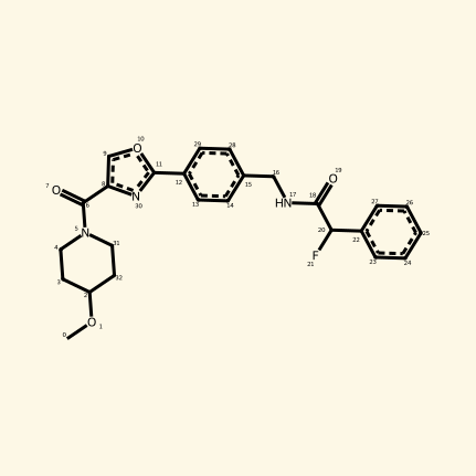 COC1CCN(C(=O)c2coc(-c3ccc(CNC(=O)C(F)c4ccccc4)cc3)n2)CC1